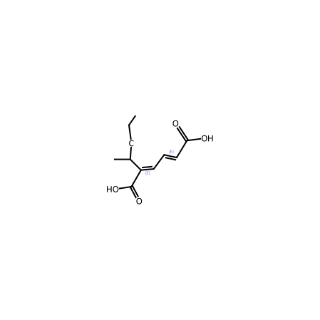 CCCC(C)/C(=C\C=C\C(=O)O)C(=O)O